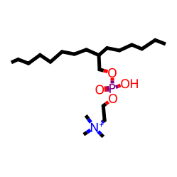 CCCCCCCCC(CCCCCC)COP(=O)(O)OCC[N+](C)(C)C